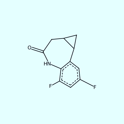 O=C1CC2CC2c2cc(F)cc(F)c2N1